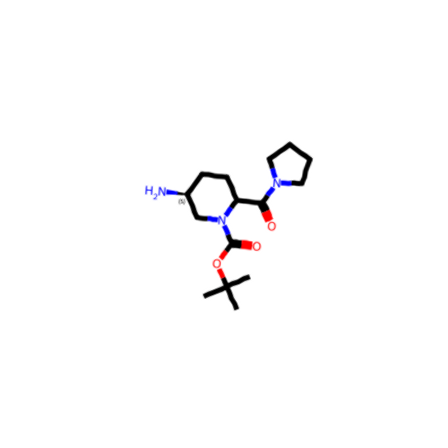 CC(C)(C)OC(=O)N1C[C@@H](N)CCC1C(=O)N1CCCC1